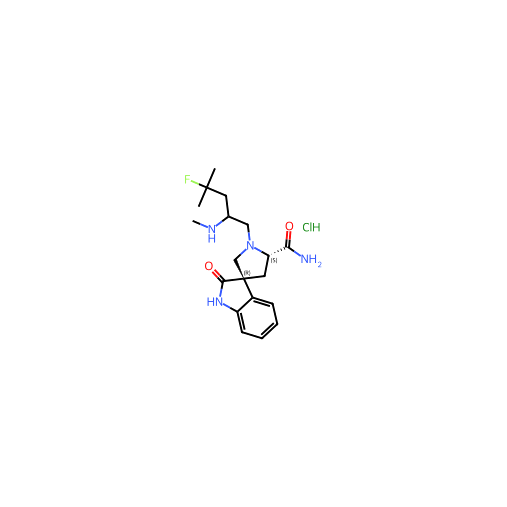 CNC(CN1C[C@]2(C[C@H]1C(N)=O)C(=O)Nc1ccccc12)CC(C)(C)F.Cl